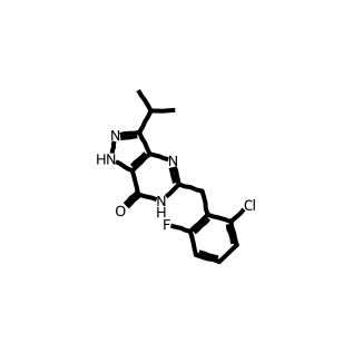 CC(C)c1n[nH]c2c(=O)[nH]c(Cc3c(F)cccc3Cl)nc12